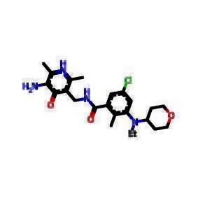 CCN(c1cc(Cl)cc(C(=O)NCc2c(C)[nH]c(C)c(N)c2=O)c1C)C1CCOCC1